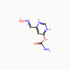 NC(=O)Oc1cc(/C=N/O)ncn1